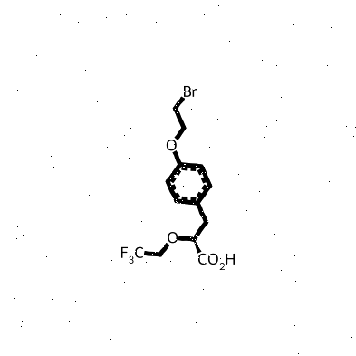 O=C(O)[C@H](Cc1ccc(OCCBr)cc1)OCC(F)(F)F